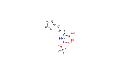 CC(C)(C)OC(=O)NC(CCCC1CCCC1)C(=O)O